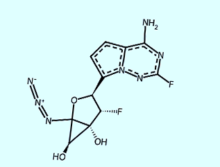 [N-]=[N+]=NC12O[C@@H](c3ccc4c(N)nc(F)nn34)[C@H](F)[C@@]1(O)[C@H]2O